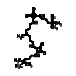 CN(CCCNc1c(NCCC[N+](C)(C)C)c(=O)c1=O)CCCNc1c(NCCC[N+](C)(C)C)c(=O)c1=O